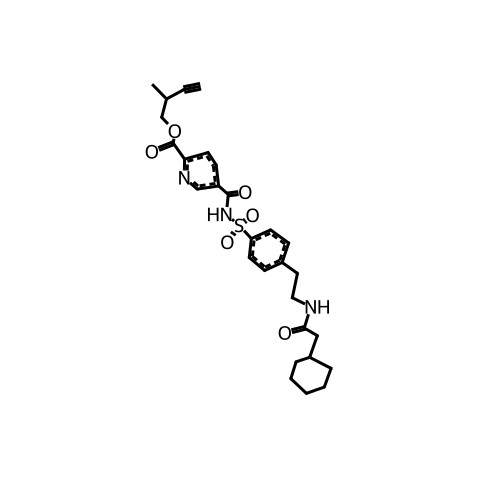 C#CC(C)COC(=O)c1ccc(C(=O)NS(=O)(=O)c2ccc(CCNC(=O)CC3CCCCC3)cc2)cn1